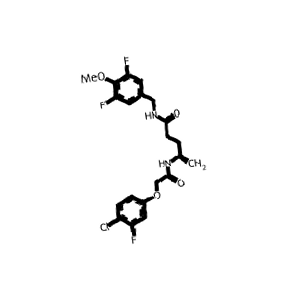 C=C(CCC(=O)NCc1cc(F)c(OC)c(F)c1)NC(=O)COc1ccc(Cl)c(F)c1